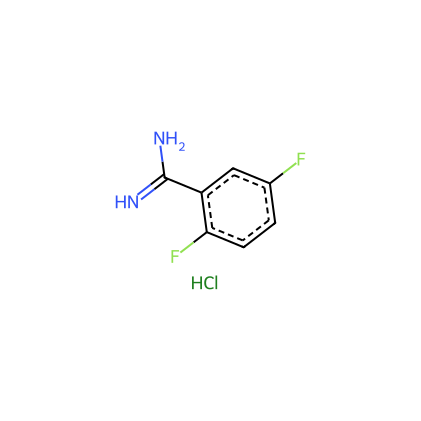 Cl.N=C(N)c1cc(F)ccc1F